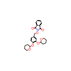 O=C1c2ccccc2C(=O)N1OCc1ccc(OC2CCCCO2)c(OC2CCCCO2)c1